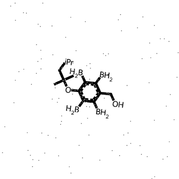 Bc1c(B)c(OC(C)(C)CC(C)C)c(B)c(B)c1CO